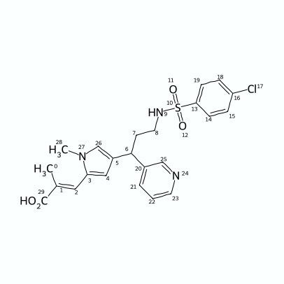 CC(=Cc1cc(C(CCNS(=O)(=O)c2ccc(Cl)cc2)c2cccnc2)cn1C)C(=O)O